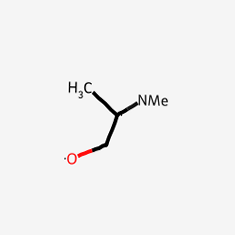 CN[C](C)C[O]